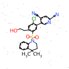 CC1(C)CCN(S(=O)(=O)c2cc(-c3cnc(C#N)cc3C#N)c(Cl)cc2CCO)c2ccccc21